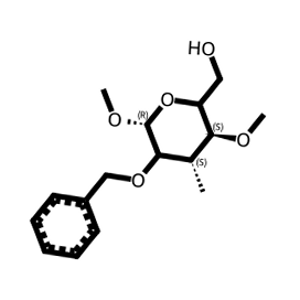 CO[C@@H]1OC(CO)[C@@H](OC)[C@H](C)C1OCc1ccccc1